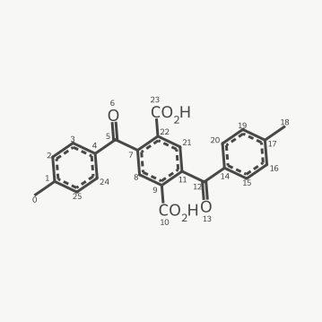 Cc1ccc(C(=O)c2cc(C(=O)O)c(C(=O)c3ccc(C)cc3)cc2C(=O)O)cc1